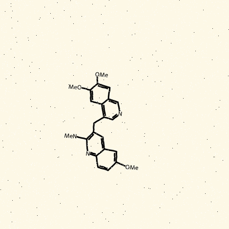 CNc1nc2ccc(OC)cc2cc1Cc1cncc2cc(OC)c(OC)cc12